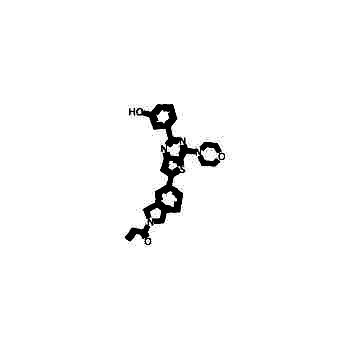 C=CC(=O)N1Cc2ccc(-c3cc4nc(-c5cccc(O)c5)nc(N5CCOCC5)c4s3)cc2C1